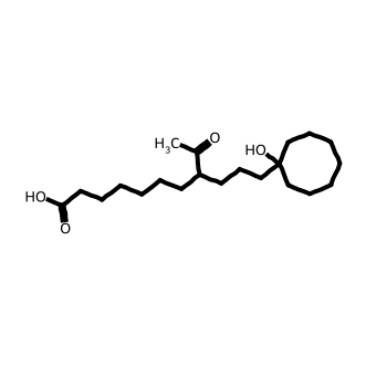 CC(=O)C(CCCCCCC(=O)O)CCCC1(O)CCCCCCC1